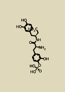 N[C@@H](Cc1ccc(OP(=O)(O)O)c(O)c1)C(=O)N[C@H](CC(=O)O)Cc1ccc(O)c(O)c1